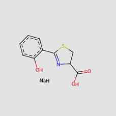 O=C(O)C1CSC(c2ccccc2O)=N1.[NaH]